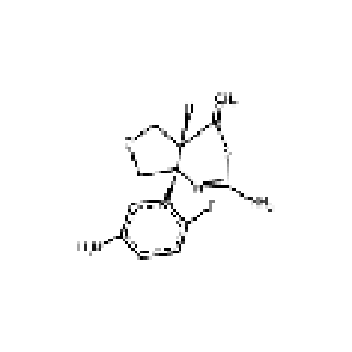 C=C1SC(N)=N[C@]2(c3cc(N)ccc3F)COC[C@H]12